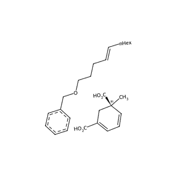 CCCCCCC=CCCCOCc1ccccc1.C[C@]1(C(=O)O)C=CC=C(C(=O)O)C1